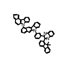 CC1(C)c2ccccc2-c2cccc(-c3nc4ccccc4nc3-c3cccc(-n4c5ccccc5c5cc6c(-n7c8ccccc8c8c9ccccc9ccc87)cccc6cc54)c3)c21